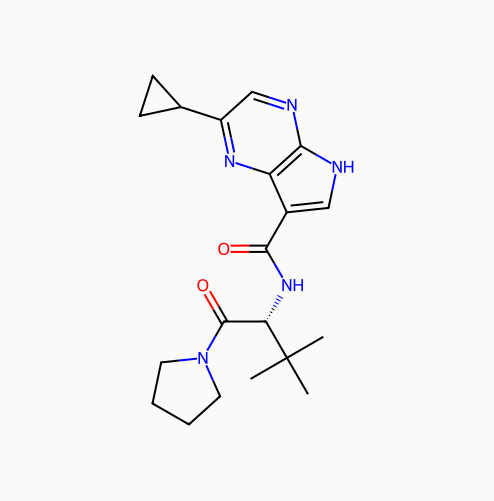 CC(C)(C)[C@@H](NC(=O)c1c[nH]c2ncc(C3CC3)nc12)C(=O)N1CCCC1